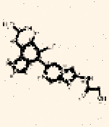 CC(C)Nc1c(F)c(Cl)c(-c2cn3cc(NC(=O)CO)nc3cn2)c2cn[nH]c12